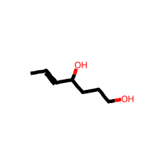 CC=CC(O)CCCO